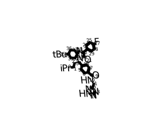 CC(C)CC[C@H](c1ccc(C(=O)NCc2nn[nH]n2)cc1)N1C(=O)C(c2ccc(F)cc2)=NC12CCC(C(C)(C)C)CC2